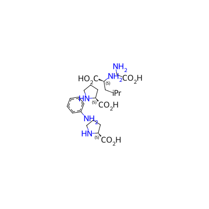 CC(C)C[C@H](N)C(=O)O.NCC(=O)O.Nc1ccccc1.O=C(O)[C@@H]1CCCN1.O=C(O)[C@@H]1CCCN1